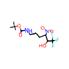 CC(C)(C)OC(=O)NCCCC(C(O)C(F)(F)F)[N+](=O)[O-]